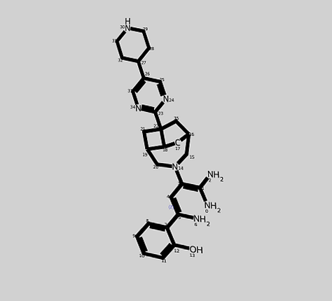 NC(N)=C(/C=C(\N)c1ccccc1O)N1CC2CC3C(C1)CC3(c1ncc(C3CCNCC3)cn1)C2